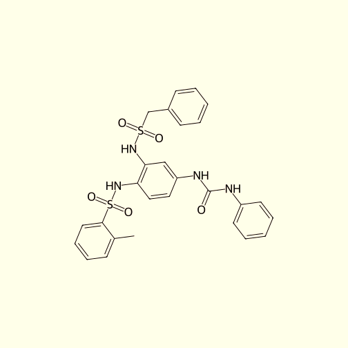 Cc1ccccc1S(=O)(=O)Nc1ccc(NC(=O)Nc2ccccc2)cc1NS(=O)(=O)Cc1ccccc1